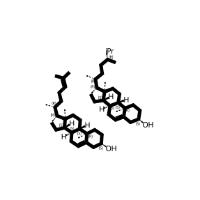 CC(C)=CCC[C@@H](C)[C@H]1CC[C@H]2[C@@H]3CC=C4C[C@@H](O)CC[C@]4(C)[C@H]3CC[C@]12C.CC(C)[C@H](C)CC[C@@H](C)[C@H]1CC[C@H]2[C@@H]3CC=C4C[C@@H](O)CC[C@]4(C)[C@H]3CC[C@]12C